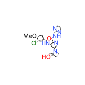 COc1ccc(CNc2cc(N3CCC[C@H]3CO)cnc2C(=O)NCc2ncccn2)cc1Cl